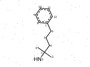 CC(C)([NH])CCCc1ccccc1